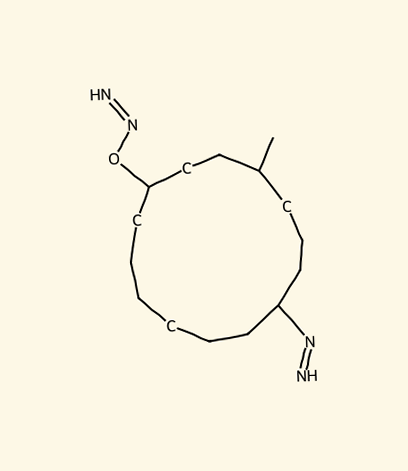 CC1CCCC(N=N)CCCCCCC(ON=N)CC1